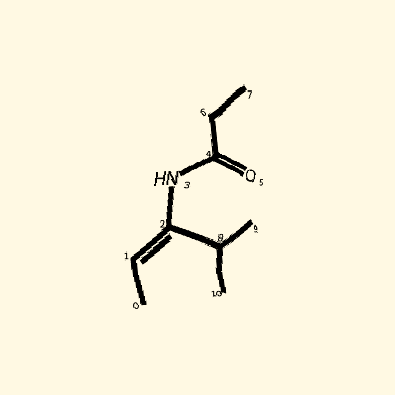 C/C=C(/NC(=O)CC)C(C)C